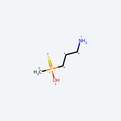 CP(O)(=S)CCCN